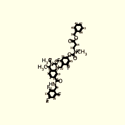 CC1c2ccc(C(=O)NCc3c(F)cc(F)cc3F)cc2N(Cc2c(F)cc(OC(=O)N(C)CCC(=O)OCc3ccccc3)cc2F)C(=O)N1C